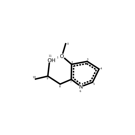 COc1cccnc1CC(C)O